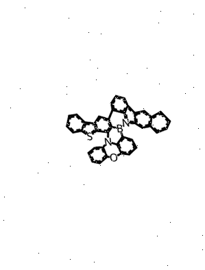 c1ccc2c(c1)Oc1cccc3c1N2c1c2c(cc4c1sc1ccccc14)-c1cccc4c5cc6ccccc6cc5n(c14)B32